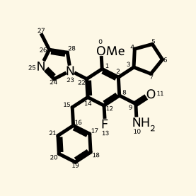 COc1c(C2CCCC2)c(C(N)=O)c(F)c(Cc2ccccc2)c1-n1cnc(C)c1